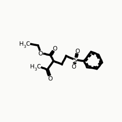 CCOC(=O)C(CCS(=O)(=O)c1ccccc1)C(C)=O